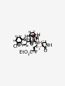 CCOC(=O)/C(F)=C/[C@@H](C[C@@H]1CCNC1=O)NC(=O)[C@@H]1[C@@H]2CC[C@@H](CC2(F)F)N1C(=O)[C@@H](CC(C)C)Nc1cccc(Cl)c1